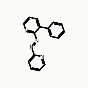 c1ccc(-c2cccnc2N=Nc2ccccn2)cc1